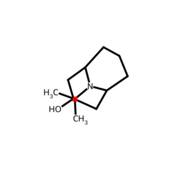 CC(C)N1C2CCCC1CC(O)C2